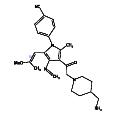 C=Nc1c(C(=O)CN2CCC(CN)CC2)c(C)n(-c2ccc(C#N)cc2)c1/C=C(\C)OC